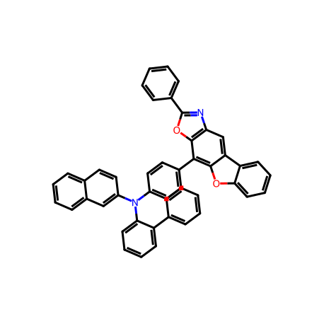 c1ccc(-c2nc3cc4c(oc5ccccc54)c(-c4ccc(N(c5ccc6ccccc6c5)c5ccccc5-c5ccccc5)cc4)c3o2)cc1